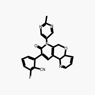 Cc1ncc(-n2c3c(cc(-c4cccc(F)c4C#N)c2=O)C2N=CC=CC2OC3)cn1